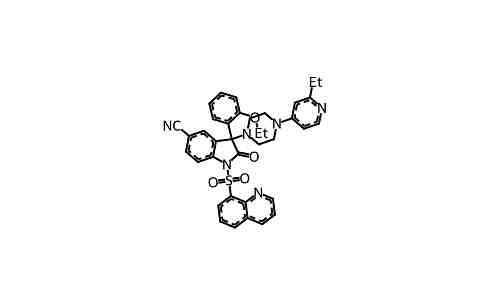 CCOc1ccccc1C1(N2CCN(c3ccnc(CC)c3)CC2)C(=O)N(S(=O)(=O)c2cccc3cccnc23)c2ccc(C#N)cc21